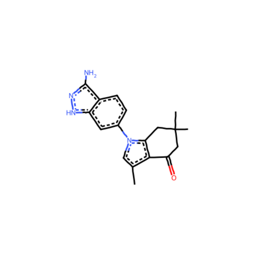 Cc1cn(-c2ccc3c(N)n[nH]c3c2)c2c1C(=O)CC(C)(C)C2